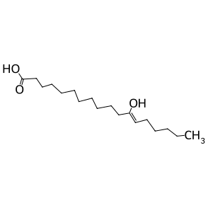 CCCCCC=C(O)CCCCCCCCCCC(=O)O